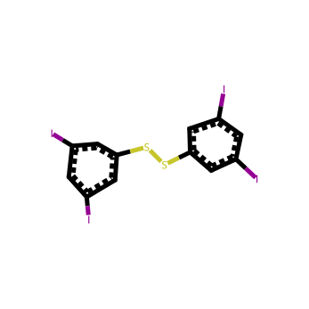 Ic1cc(I)cc(SSc2cc(I)cc(I)c2)c1